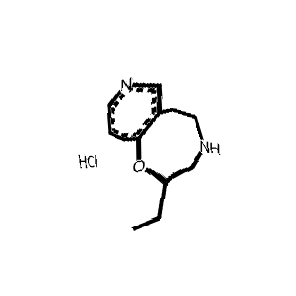 CCC1CNCc2cnccc2O1.Cl